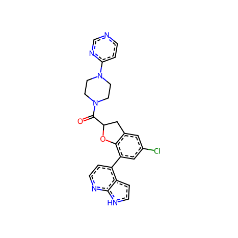 O=C(C1Cc2cc(Cl)cc(-c3ccnc4[nH]ccc34)c2O1)N1CCN(c2ccncn2)CC1